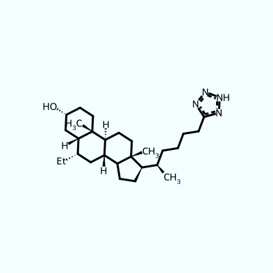 CC[C@H]1C[C@H]2C3CC[C@H]([C@H](C)CCCCc4nn[nH]n4)[C@@]3(C)CC[C@@H]2[C@@]2(C)CC[C@@H](O)C[C@@H]12